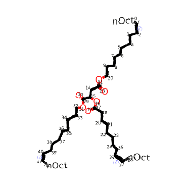 CCCCCCCC/C=C\CCCCCCCCOC(=O)CC(OC(=O)CCCCCCC/C=C\CCCCCCCC)C(=O)OCCCCCCCC/C=C\CCCCCCCC